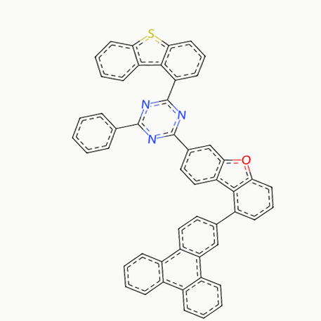 c1ccc(-c2nc(-c3ccc4c(c3)oc3cccc(-c5ccc6c7ccccc7c7ccccc7c6c5)c34)nc(-c3cccc4sc5ccccc5c34)n2)cc1